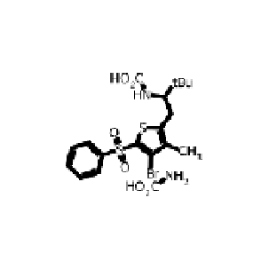 Cc1c(CC(NC(=O)O)C(C)(C)C)sc(S(=O)(=O)c2ccccc2)c1Br.NC(=O)O